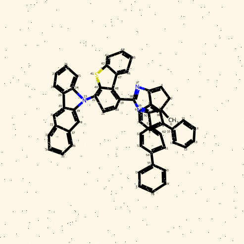 CC1C/C=C(c2cccc(-c3ccccc3)c2)/N=C(c2ccc(-n3c4ccccc4c4cc5ccccc5cc43)c3sc4ccccc4c23)\N=C/1c1ccc(-c2ccccc2)cc1